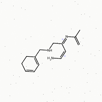 C=C(C)/N=C(\C=C/N)CNCC1=CC=CCC1